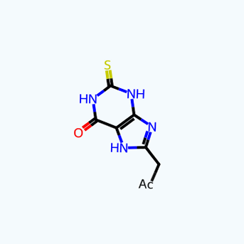 CC(=O)Cc1nc2[nH]c(=S)[nH]c(=O)c2[nH]1